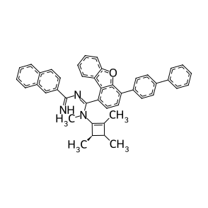 CC1=C(N(C)/C(=N\C(=N)c2ccc3ccccc3c2)c2ccc(-c3ccc(-c4ccccc4)cc3)c3oc4ccccc4c23)[C@H](C)C1C